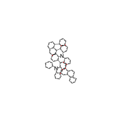 c1ccc(-c2cccc3cccc(-c4ccccc4N(c4cccc(-c5cccc6c5ccc5ccccc56)c4)c4ccccc4-c4cccc5c6ccccc6n(-c6ccccc6)c45)c23)cc1